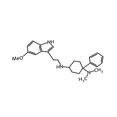 COc1ccc2[nH]cc(CCNC3CCC(c4ccccc4)(N(C)C)CC3)c2c1